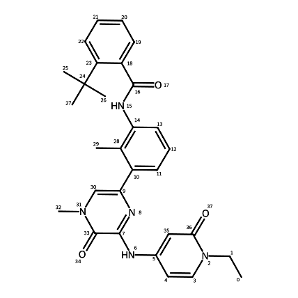 CCn1ccc(Nc2nc(-c3cccc(NC(=O)c4ccccc4C(C)(C)C)c3C)cn(C)c2=O)cc1=O